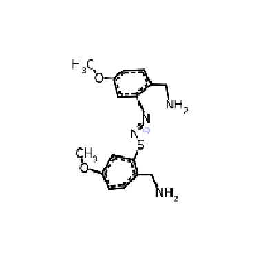 COc1ccc(CN)c(/N=N/Sc2cc(OC)ccc2CN)c1